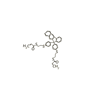 C=CC(=O)SCCSc1ccc(C2(c3ccc(SCCSC(=O)C=C)cc3)c3ccccc3-c3cc4ccccc4cc32)cc1